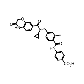 O=C1COc2cc(C(=O)N(Cc3ccc(C(=O)Nc4ccc(C(=O)O)cc4)c(F)c3)C3CC3)ccc2N1